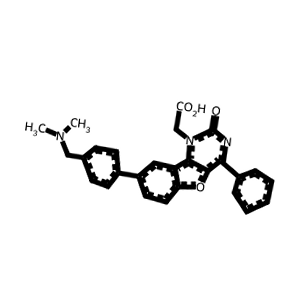 CN(C)Cc1ccc(-c2ccc3oc4c(-c5ccccc5)nc(=O)n(CC(=O)O)c4c3c2)cc1